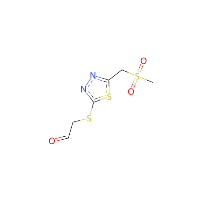 CS(=O)(=O)Cc1nnc(SC[C]=O)s1